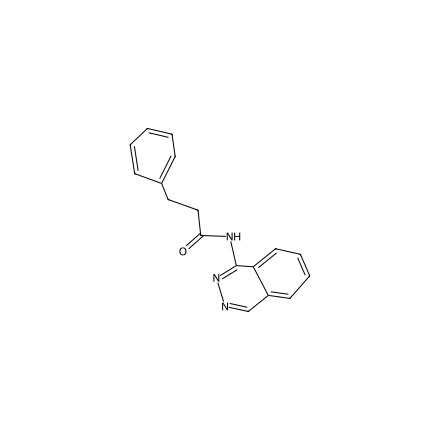 O=C(CCc1ccccc1)Nc1nncc2ccccc12